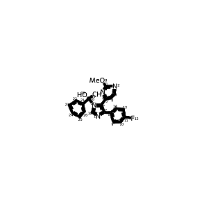 COc1nccc(-c2c(-c3ccc(F)cc3)ncn2C(C)(O)c2ccccc2)n1